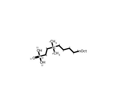 CCCCCCCCCCCC[N+](C)(C)CCP(=O)(O)O